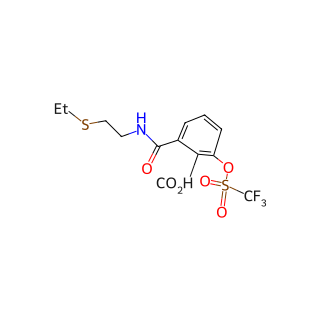 CCSCCNC(=O)c1cccc(OS(=O)(=O)C(F)(F)F)c1C(=O)O